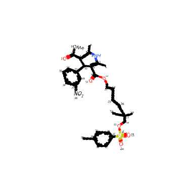 COC(=O)C1=C(C)NC(C)=C(C(=O)OCCCCC(C)(C)COS(=O)(=O)c2ccc(C)cc2)C1c1cccc([N+](=O)[O-])c1